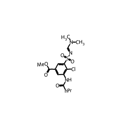 CCCC(=O)Nc1cc(C(=O)OC)cc(S(=O)(=O)/N=C/N(C)C)c1Cl